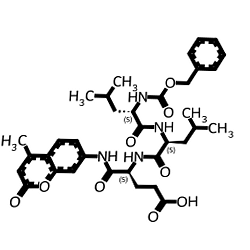 Cc1cc(=O)oc2cc(NC(=O)[C@H](CCC(=O)O)NC(=O)[C@H](CC(C)C)NC(=O)[C@H](CC(C)C)NC(=O)OCc3ccccc3)ccc12